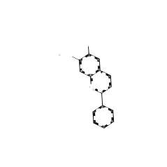 O=Cc1cc2nc(-c3ccccc3)ccc2cc1Cl